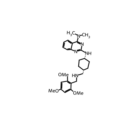 COc1cc(OC)c(CNC[C@H]2CC[C@@H](Nc3nc(N(C)C)c4ccccc4n3)CC2)c(OC)c1